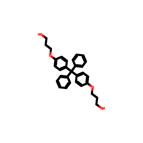 OCCCOc1ccc(C(c2ccccc2)(c2ccccc2)c2ccc(OCCCO)cc2)cc1